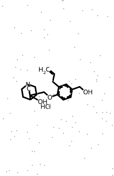 C=CCc1cc(CO)ccc1OCC1(O)CN2CCC1CC2.Cl